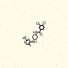 Cc1cnc(N(C)C)nc1NC1CCC(NC(=O)c2ccc(Cl)c(Cl)c2)CC1